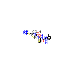 Cc1cccc2[nH]c(C(=O)NC(C(=O)NC3C(=O)N4C(C(=O)O)=C(CSc5nnnn5C)CS[C@H]34)c3cccs3)nc12